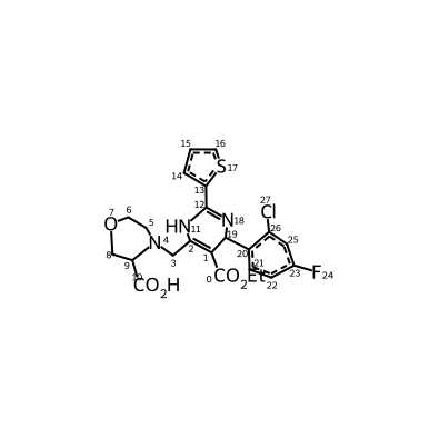 CCOC(=O)C1=C(CN2CCOCC2C(=O)O)NC(c2cccs2)=NC1c1ccc(F)cc1Cl